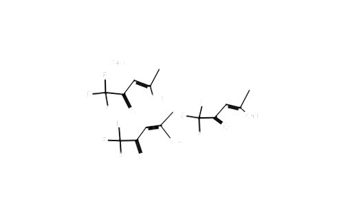 CC(O)=CC(=O)C(F)(F)F.CC(O)=CC(=O)C(F)(F)F.CC(O)=CC(=O)C(F)(F)F.[Sm]